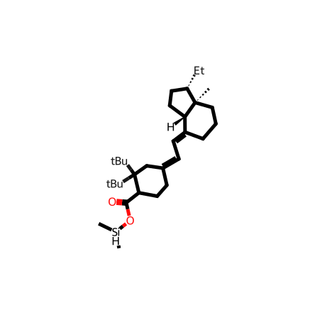 CC[C@H]1CC[C@H]2/C(=C/C=C3/CCC(C(=O)O[SiH](C)C)C(C(C)(C)C)(C(C)(C)C)C3)CCC[C@]12C